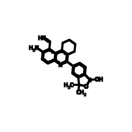 CC1(C)OB(O)c2ccc(-c3nc4ccc(N)c(C=N)c4c4c3CCCC4)cc21